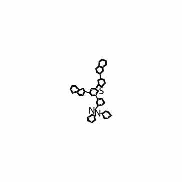 c1ccc(-n2c(-c3cccc(-c4cc(-c5ccc6ccccc6c5)cc5c4sc4ccc(-c6ccc7ccccc7c6)cc45)c3)nc3ccccc32)cc1